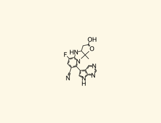 CC(C)(C)C(CC(=O)O)Nc1nc(-c2c[nH]c3ncncc23)c(C#N)cc1F